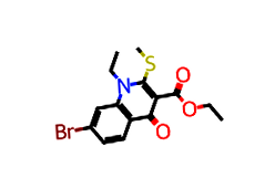 CCOC(=O)c1c(SC)n(CC)c2cc(Br)ccc2c1=O